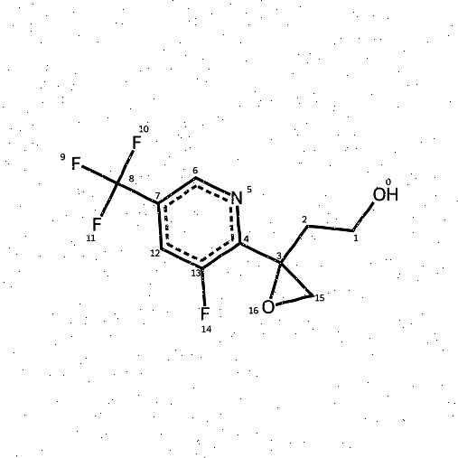 OCCC1(c2ncc(C(F)(F)F)cc2F)CO1